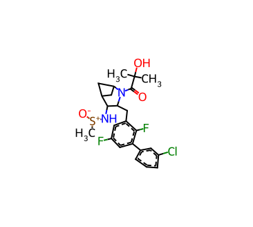 C[S+]([O-])NC1C2CC(C2)N(C(=O)C(C)(C)O)C1Cc1cc(F)cc(-c2cccc(Cl)c2)c1F